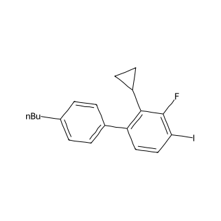 CCCCc1ccc(-c2ccc(I)c(F)c2C2CC2)cc1